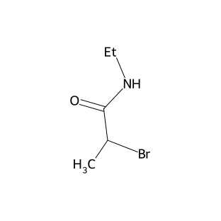 CCNC(=O)C(C)Br